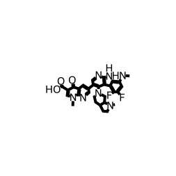 CNc1cc(F)c(F)c2c1[nH]c1ncc(-c3cnc4c(c3)c(=O)c(C(=O)O)cn4C)c(N3CCC4CCN(C)C4C3)c12